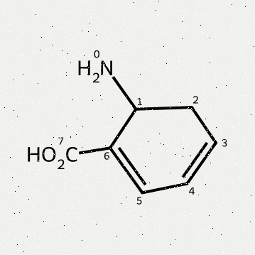 NC1CC=CC=C1C(=O)O